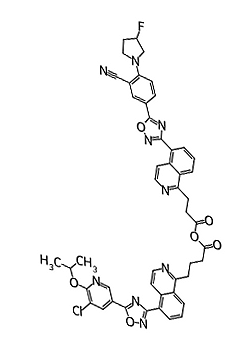 CC(C)Oc1ncc(-c2nc(-c3cccc4c(CCCC(=O)OC(=O)CCc5nccc6c(-c7noc(-c8ccc(N9CCC(F)C9)c(C#N)c8)n7)cccc56)nccc34)no2)cc1Cl